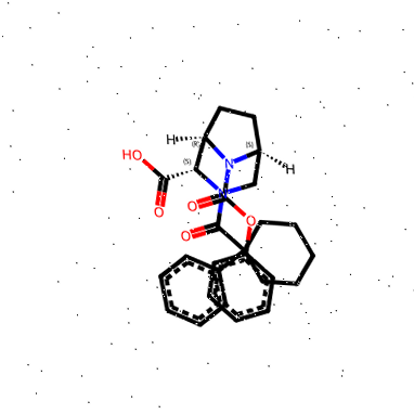 O=C(O)[C@@H]1[C@H]2CC[C@@H](CN1C(=O)C1(c3ccccc3)CCCCC1)N2C(=O)Oc1ccccc1